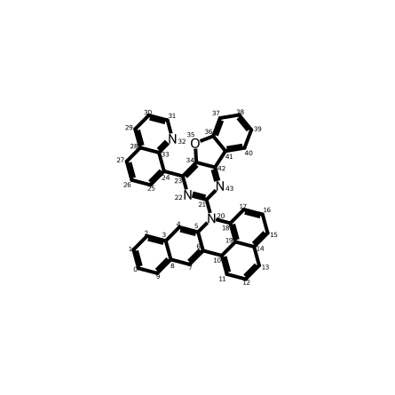 c1ccc2cc3c(cc2c1)-c1cccc2cccc(c12)N3c1nc(-c2cccc3cccnc23)c2oc3ccccc3c2n1